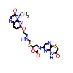 Cn1c(=O)cnc2ccc(OCCNCSC3CN(c4cnc5c(n4)NC(=O)CS5)C(=O)O3)nc21